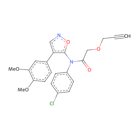 C#CCOCC(=O)N(c1ccc(Cl)cc1)c1oncc1-c1ccc(OC)c(OC)c1